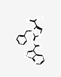 O=C(/N=c1\scc(C(=O)O)n1Cc1ccccc1)c1c[nH]c2ncccc12